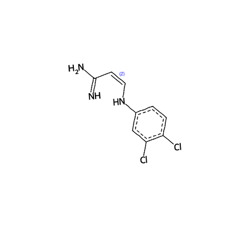 N=C(N)/C=C\Nc1ccc(Cl)c(Cl)c1